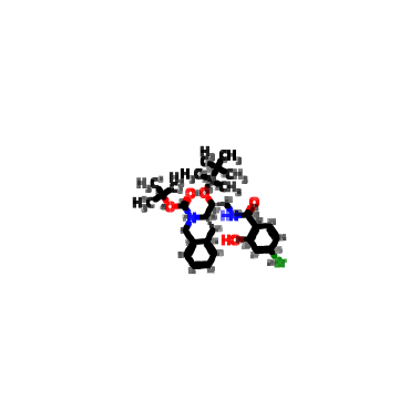 CC(C)(C)OC(=O)N1Cc2ccccc2C[C@H]1[C@@H](CNC(=O)c1ccc(Br)cc1O)O[Si](C)(C)C(C)(C)C